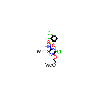 COCCOc1nc(OC)c(NS(=O)(=O)c2cccc(Cl)c2Cl)nc1Cl